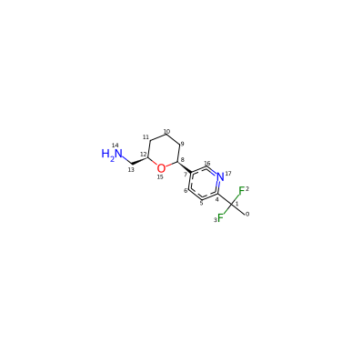 CC(F)(F)c1ccc([C@@H]2CCC[C@H](CN)O2)cn1